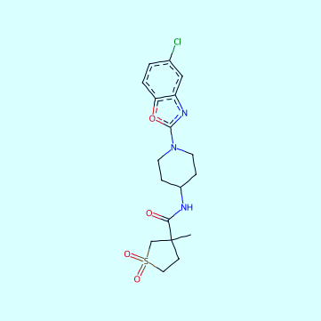 CC1(C(=O)NC2CCN(c3nc4cc(Cl)ccc4o3)CC2)CCS(=O)(=O)C1